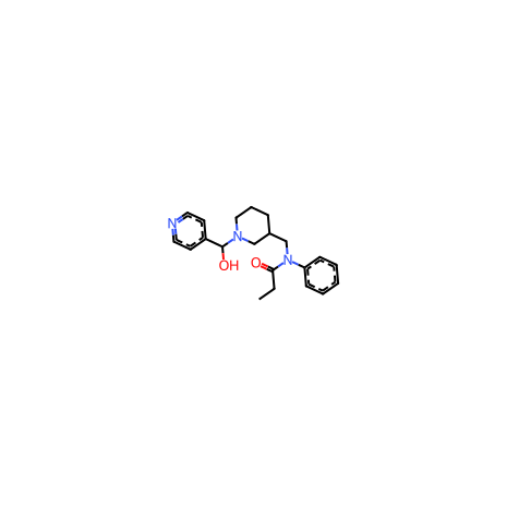 CCC(=O)N(CC1CCCN(C(O)c2ccncc2)C1)c1ccccc1